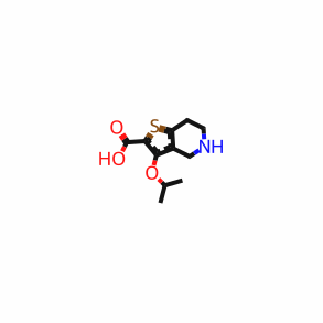 CC(C)Oc1c(C(=O)O)sc2c1CNCC2